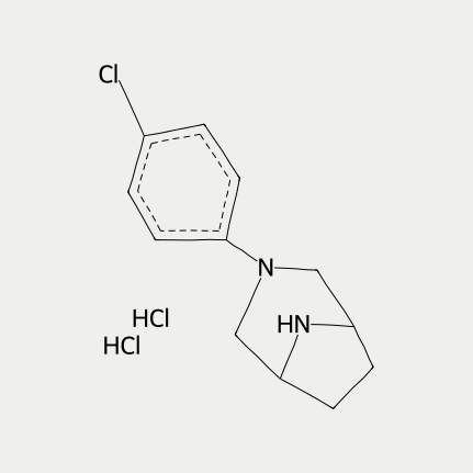 Cl.Cl.Clc1ccc(N2CC3CCC(C2)N3)cc1